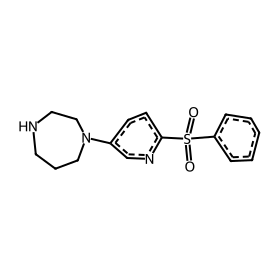 O=S(=O)(c1ccccc1)c1ccc(N2CCCNCC2)cn1